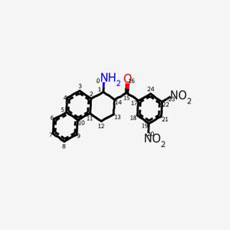 NC1c2ccc3ccccc3c2CCC1C(=O)c1cc([N+](=O)[O-])cc([N+](=O)[O-])c1